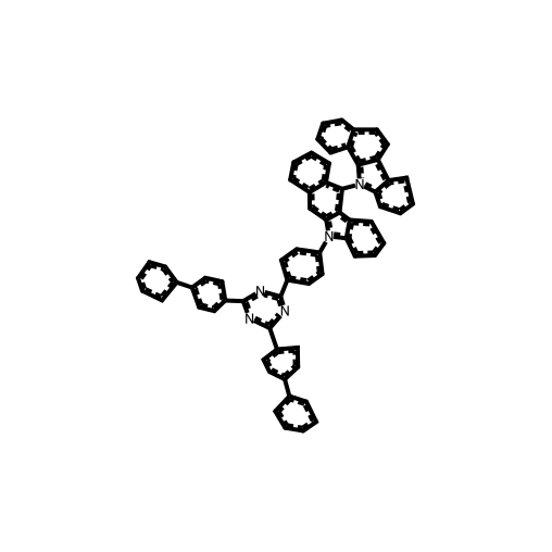 c1ccc(-c2ccc(-c3nc(-c4ccc(-c5ccccc5)cc4)nc(-c4ccc(-n5c6ccccc6c6c(-n7c8ccccc8c8ccc9ccccc9c87)c7ccccc7cc65)cc4)n3)cc2)cc1